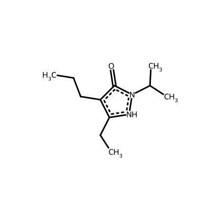 CCCc1c(CC)[nH]n(C(C)C)c1=O